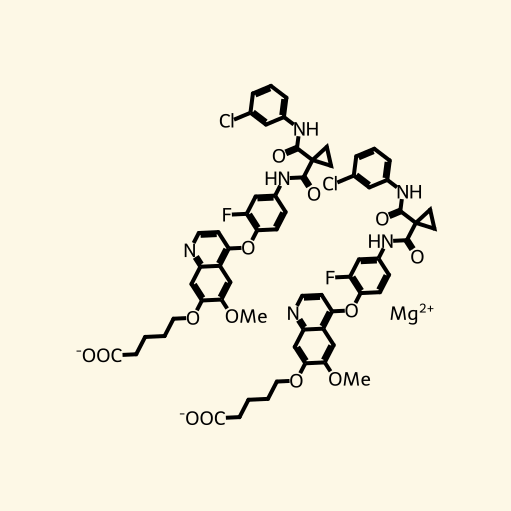 COc1cc2c(Oc3ccc(NC(=O)C4(C(=O)Nc5cccc(Cl)c5)CC4)cc3F)ccnc2cc1OCCCCC(=O)[O-].COc1cc2c(Oc3ccc(NC(=O)C4(C(=O)Nc5cccc(Cl)c5)CC4)cc3F)ccnc2cc1OCCCCC(=O)[O-].[Mg+2]